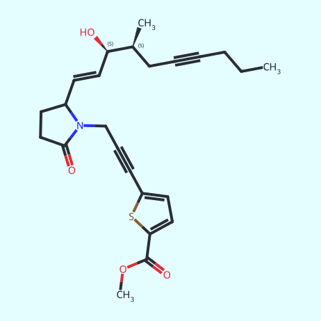 CCCC#CC[C@H](C)[C@H](O)C=CC1CCC(=O)N1CC#Cc1ccc(C(=O)OC)s1